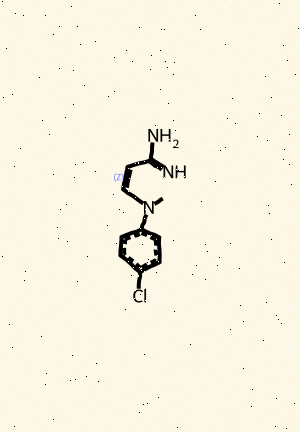 CN(/C=C\C(=N)N)c1ccc(Cl)cc1